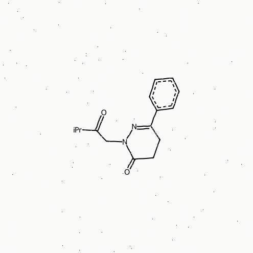 CC(C)C(=O)CN1N=C(c2ccccc2)CCC1=O